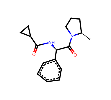 C[C@H]1CCCN1C(=O)[C@H](NC(=O)C1CC1)c1ccccc1